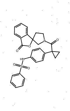 O=C1OC2(CCN(C(=O)C3(c4ccc(NS(=O)(=O)c5ccccc5)cc4)CC3)C2)c2ccccc21